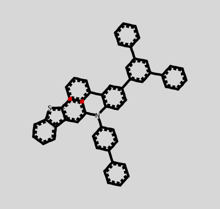 c1ccc(-c2ccc(N(c3ccc4sc5ccccc5c4c3)c3ccc(-c4cc(-c5ccccc5)cc(-c5ccccc5)c4)cc3-c3ccccc3)cc2)cc1